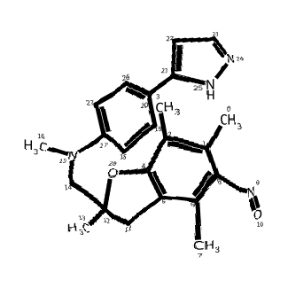 Cc1c(C)c2c(c(C)c1N=O)CC(C)(CN(C)c1ccc(-c3ccn[nH]3)cc1)O2